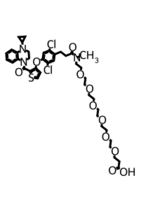 CN(CCOCCOCCOCCOCCOCCOCCC(=O)O)C(=O)CCc1cc(Cl)c(Oc2ccsc2C(=O)N2CCN(C3CC3)c3ccccc32)cc1Cl